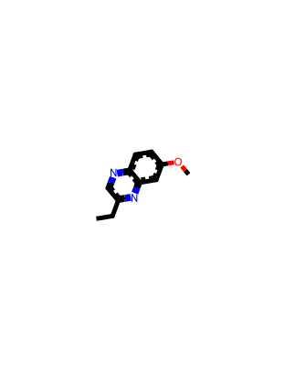 CCc1cnc2ccc(OC)cc2n1